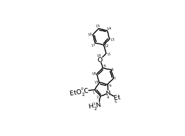 CCOC(=O)c1c(N)n(CC)c2ccc(OCc3ccccc3)cc12